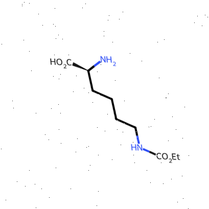 CCOC(=O)NCCCC[C@H](N)C(=O)O